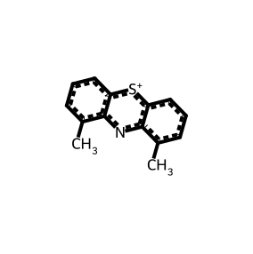 Cc1cccc2[s+]c3cccc(C)c3nc12